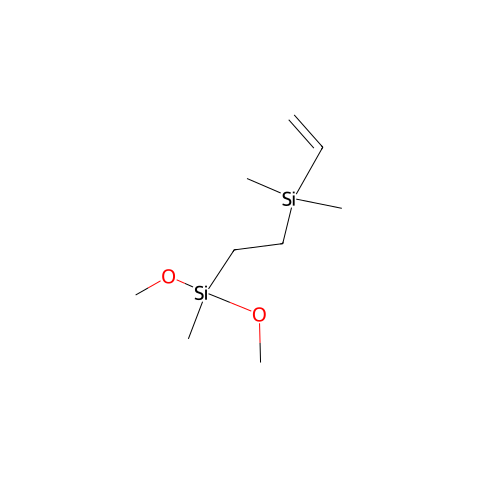 C=C[Si](C)(C)CC[Si](C)(OC)OC